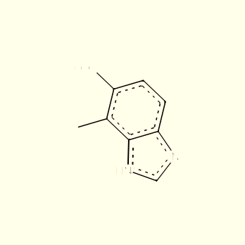 Cc1c(C(=O)O)ccc2nc[nH]c12